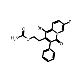 NC(=O)OCCc1c(-c2ccccc2)c(=O)n2cc(F)ccc2c1Br